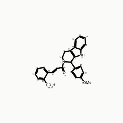 COc1ccc(C2c3[nH]c4ccccc4c3CCN2C(=O)/C=C/c2ccccc2C(=O)O)cc1